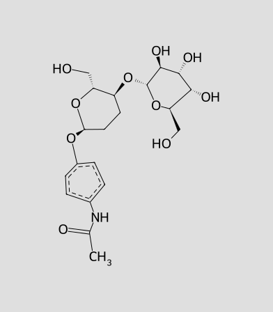 CC(=O)Nc1ccc(O[C@@H]2CC[C@H](O[C@H]3O[C@H](CO)[C@@H](O)[C@@H](O)[C@@H]3O)[C@@H](CO)O2)cc1